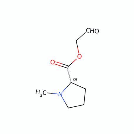 CN1CCC[C@H]1C(=O)OCC=O